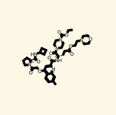 CCOC(=O)N1CCN(C(=O)[C@H](CCC(=O)OCCN2CCOCC2)NC(=O)c2cc(OCC(=O)N3CCC[C@H]3C(=O)NC3CCC3)c3ccc(C)cc3n2)CC1